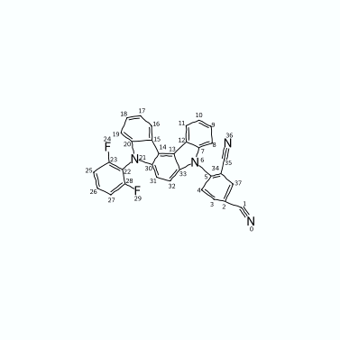 N#Cc1ccc(-n2c3ccccc3c3c4c5ccccc5n(-c5c(F)cccc5F)c4ccc32)c(C#N)c1